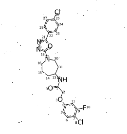 O=C(COc1ccc(Cl)c(F)c1)NC1CCCN(c2nnc(-c3ccc(Cl)cc3)o2)CC1